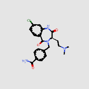 CN(C)CC[C@@H]1C(=O)Nc2cc(Cl)ccc2C(=O)N1Cc1ccc(C(N)=O)cc1